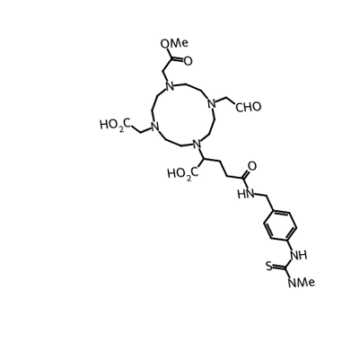 CNC(=S)Nc1ccc(CNC(=O)CCC(C(=O)O)N2CCN(CC=O)CCN(CC(=O)OC)CCN(CC(=O)O)CC2)cc1